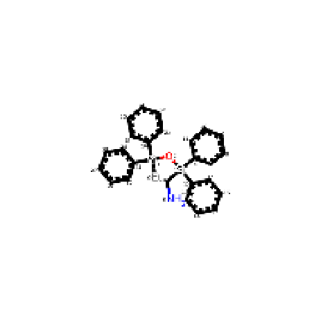 CC[Si](O[Si](CN)(c1ccccc1)c1ccccc1)(c1ccccc1)c1ccccc1